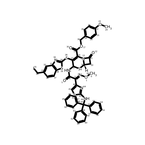 CON=C(C(=O)NC1S[C@H]2CC(=O)N2C(C(=O)OCc2ccc(OC)cc2)=C1Sc1nc2cc(CI)ccc2s1)c1csc(NC(c2ccccc2)(c2ccccc2)c2ccccc2)n1